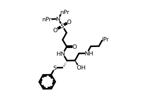 CCCN(CCC)S(=O)(=O)CCC(=O)N[C@@H](CSc1ccccc1)[C@H](O)CNCCC(C)C